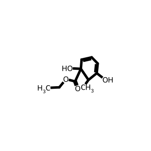 CCOC(=O)C1(O)C=CC=C(O)C1C